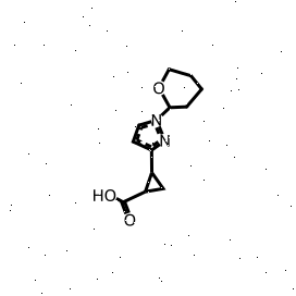 O=C(O)C1CC1c1ccn(C2CCCCO2)n1